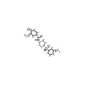 O=C(N[C@H]1CC[C@@H](S(=O)(=O)c2cccc(C(F)(F)F)c2)CC1)c1ccc(Cl)c(C(F)(F)F)c1